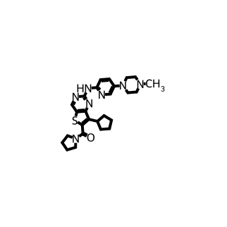 CN1CCN(c2ccc(Nc3ncc4sc(C(=O)N5CCCC5)c(C5CCCC5)c4n3)nc2)CC1